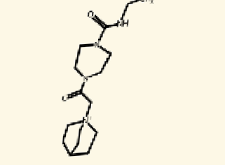 CCNC(=O)N1CCN(C(=O)C[N+]23CCC(CC2)CC3)CC1